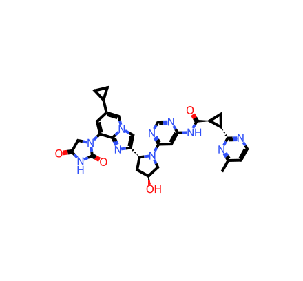 Cc1ccnc([C@H]2C[C@@H]2C(=O)Nc2cc(N3C[C@@H](O)C[C@@H]3c3cn4cc(C5CC5)cc(N5CC(=O)NC5=O)c4n3)ncn2)n1